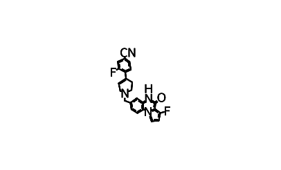 N#Cc1ccc(C2=CCN(Cc3ccc4c(c3)[nH]c(=O)c3c(F)ccn34)CC2)c(F)c1